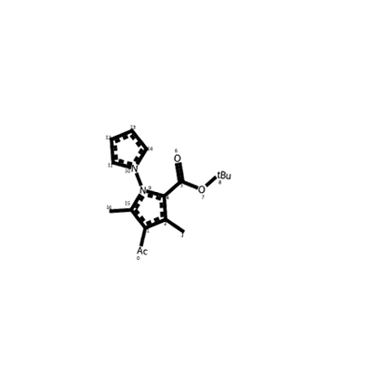 CC(=O)c1c(C)c(C(=O)OC(C)(C)C)n(-n2cccc2)c1C